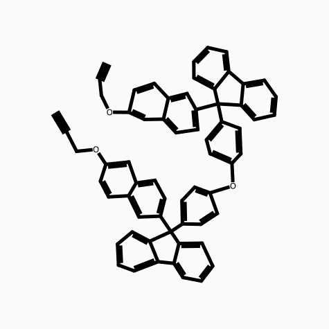 C#CCOc1ccc2cc(C3(c4ccc(Oc5ccc(C6(c7ccc8cc(OCC#C)ccc8c7)c7ccccc7-c7ccccc76)cc5)cc4)c4ccccc4-c4ccccc43)ccc2c1